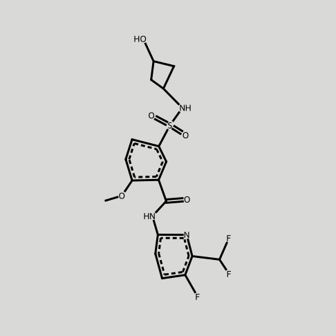 COc1ccc(S(=O)(=O)NC2CC(O)C2)cc1C(=O)Nc1ccc(F)c(C(F)F)n1